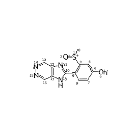 C[S+]([O-])c1cc(O)ccc1-c1nc2cnncc2[nH]1